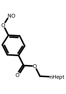 CCCCCCCCOC(=O)c1ccc(ON=O)cc1